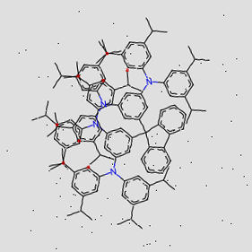 CC(C)c1cc(C(C)C)cc(N(c2cc(C(C)C)cc(C(C)C)c2)c2cc(N(c3cc(C(C)C)cc(C(C)C)c3)c3cc(C(C)C)cc(C(C)C)c3)cc(C3(c4cc(N(c5cc(C(C)C)cc(C(C)C)c5)c5cc(C(C)C)cc(C(C)C)c5)cc(N(c5cc(C(C)C)cc(C(C)C)c5)c5cc(C(C)C)cc(C(C)C)c5)c4)c4ccccc4-c4ccccc43)c2)c1